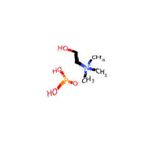 C[N+](C)(C)CCO.[O-]P(O)O